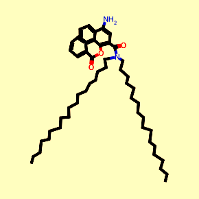 CCCCCCCCCCCCCCCCCCN(CCCCCCCCCCCCCCCCCC)C(=O)c1cc(N)c2ccccc2c1OC(=O)c1ccccc1